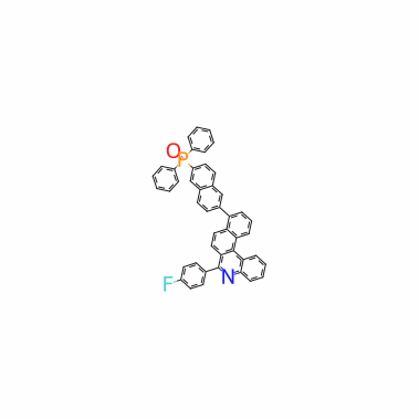 O=P(c1ccccc1)(c1ccccc1)c1ccc2cc(-c3cccc4c3ccc3c(-c5ccc(F)cc5)nc5ccccc5c34)ccc2c1